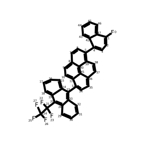 Fc1ccc(-c2ccc3ccc4c(-c5c6ccccc6c(C(F)(F)C(F)(F)F)c6ccccc56)ccc5ccc2c3c54)c2ccccc12